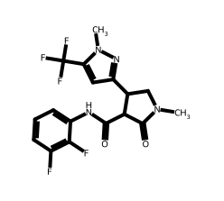 CN1CC(c2cc(C(F)(F)F)n(C)n2)C(C(=O)Nc2cccc(F)c2F)C1=O